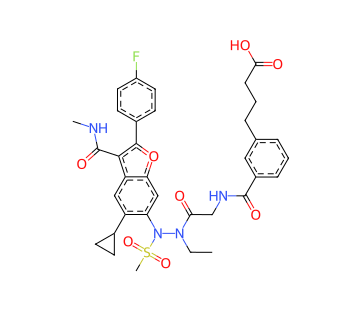 CCN(C(=O)CNC(=O)c1cccc(CCCC(=O)O)c1)N(c1cc2oc(-c3ccc(F)cc3)c(C(=O)NC)c2cc1C1CC1)S(C)(=O)=O